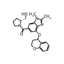 Cc1nc2c(OC3CCOc4ccccc43)cc(C(=O)N3CCC[C@@H]3CO)cc2n1C